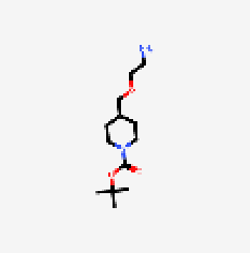 CC(C)(C)OC(=O)N1CCC(COCCN)CC1